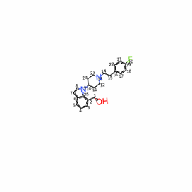 OCc1cccc2ccn(C3CCN(CCc4ccc(F)cc4)CC3)c12